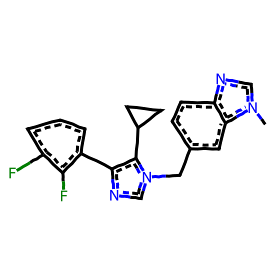 Cn1cnc2ccc(Cn3cnc(-c4cccc(F)c4F)c3C3CC3)cc21